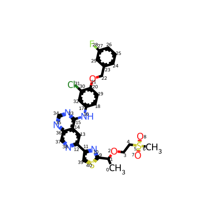 CC(OCCS(C)(=O)=O)c1nc(-c2cc3c(Nc4ccc(OCc5cccc(F)c5)c(Cl)c4)ncnc3cn2)cs1